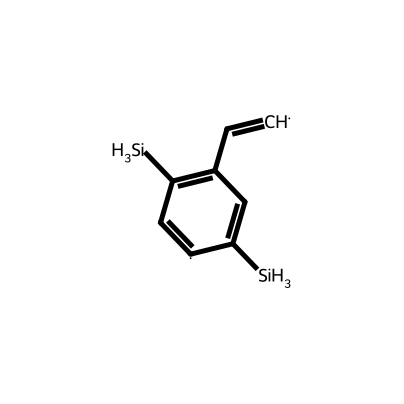 [CH]=Cc1cc([SiH3])[c]cc1[SiH3]